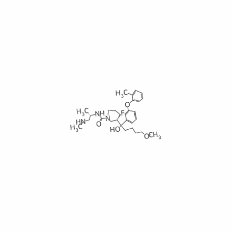 CNC[C@H](C)NC(=O)N1CCC[C@@H]([C@@](O)(CCCCOC)c2cccc(Oc3ccccc3C)c2F)C1